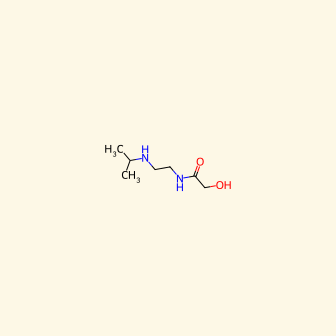 CC(C)NCCNC(=O)CO